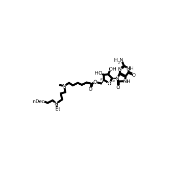 CCCCCCCCCCCCN(CC)CCCN(C)CCCCCC(=O)OC[C@@H]1O[C@H](n2c(=O)[nH]c3c(=O)[nH]c(N)nc32)C(O)C1O